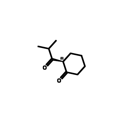 CC(C)C(=O)[C@H]1CCCCC1=O